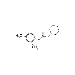 Cc1ccc(CNCC2CCCCC2)c(C)c1